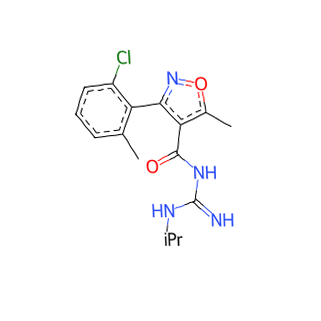 Cc1cccc(Cl)c1-c1noc(C)c1C(=O)NC(=N)NC(C)C